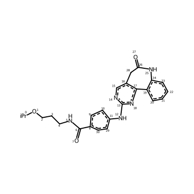 CC(C)OCCCNC(=O)c1ccc(Nc2ncc3c(n2)-c2ccccc2NC(=O)C3)cc1